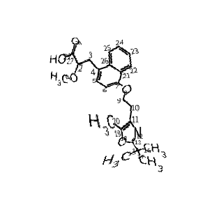 COC(Cc1ccc(OCCc2nc(C(C)(C)C)oc2C)c2ccccc12)C(=O)O